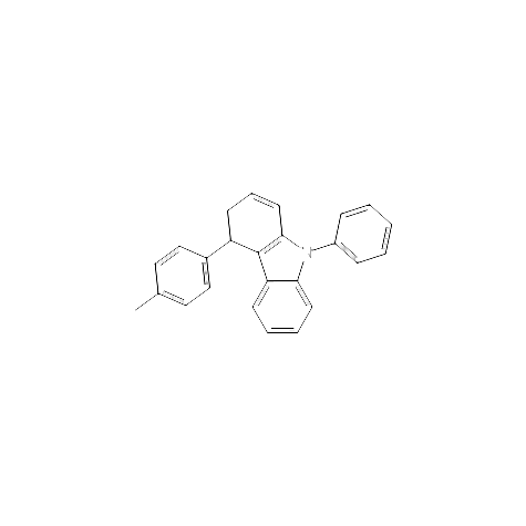 Cc1ccc(C2CC=Cc3c2c2ccccc2n3-c2ccccc2)cc1